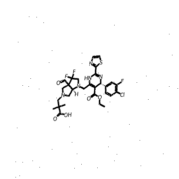 CCOC(=O)C1=C(CN2CC(F)(F)C3(C=O)CN(CC(C)(C)C(=O)O)C[C@H]23)NC(c2nccs2)=N[C@@H]1c1ccc(Cl)c(F)c1